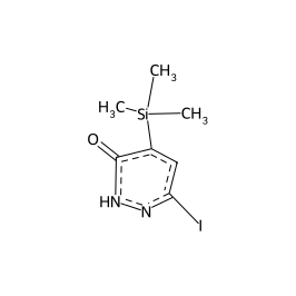 C[Si](C)(C)c1cc(I)n[nH]c1=O